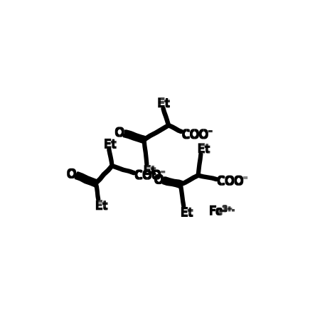 CCC(=O)C(CC)C(=O)[O-].CCC(=O)C(CC)C(=O)[O-].CCC(=O)C(CC)C(=O)[O-].[Fe+3]